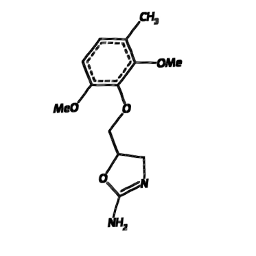 COc1ccc(C)c(OC)c1OCC1CN=C(N)O1